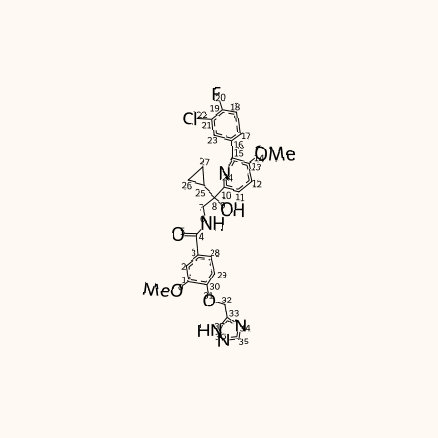 COc1cc(C(=O)NCC(O)(c2ccc(OC)c(-c3ccc(F)c(Cl)c3)n2)C2CC2)ccc1OCc1ncn[nH]1